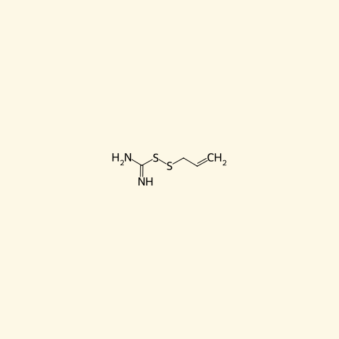 C=CCSSC(=N)N